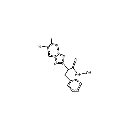 Cc1cc2cn(C(Cc3ccccc3)C(=O)NO)nc2cc1Br